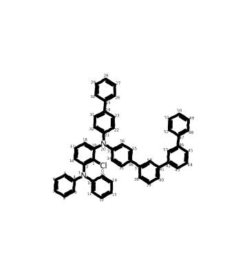 Clc1c(N(c2ccccc2)c2ccccc2)cccc1N(c1ccc(-c2ccccc2)cc1)c1ccc(-c2cccc(-c3cccc(-c4ccccc4)c3)c2)cc1